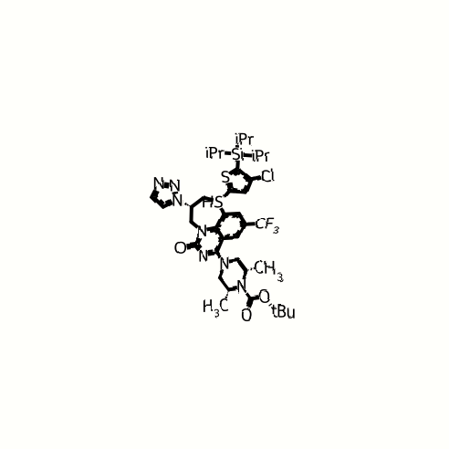 CC(C)[Si](c1sc([SH]2C[C@@H](n3ccnn3)Cn3c(=O)nc(N4C[C@@H](C)N(C(=O)OC(C)(C)C)[C@@H](C)C4)c4cc(C(F)(F)F)cc2c43)cc1Cl)(C(C)C)C(C)C